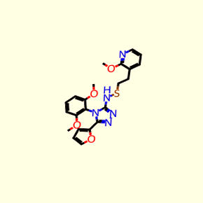 COc1cccc(OC)c1-n1c(NSCCc2cccnc2OC)nnc1-c1ccco1